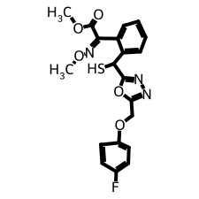 CON=C(C(=O)OC)c1ccccc1C(S)c1nnc(COc2ccc(F)cc2)o1